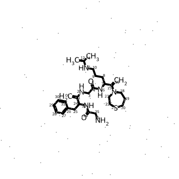 C=C(NCC(=O)NC(CCCNC(C)C)C(=C)N1CCCSCC1)C(Cc1ccccc1)NC(=O)CN